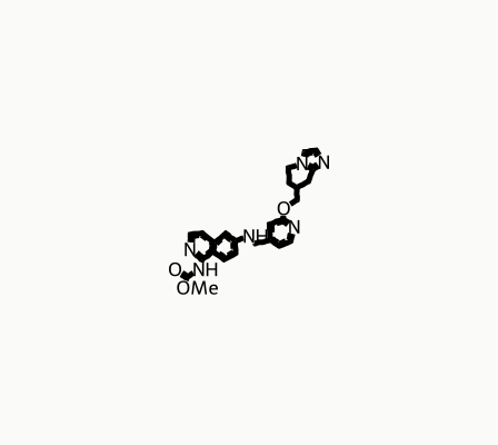 COC(=O)Nc1nccc2cc(NCc3ccnc(OCC4CCn5ccnc5C4)c3)ccc12